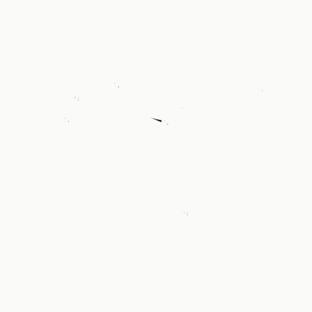 CC(C)(C)OC(=O)NCc1cccc([C@@H]2c3cnn(-c4ccccc4)c3NC(=O)[C@H]2NC(=O)c2cccc(C(F)(F)F)c2)c1